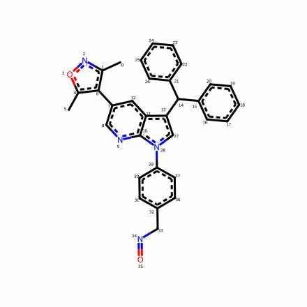 Cc1noc(C)c1-c1cnc2c(c1)c(C(c1ccccc1)c1ccccc1)cn2-c1ccc(CN=O)cc1